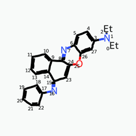 CCN(CC)c1ccc2nc3c4ccccc4/c(=N\c4ccccc4)cc-3oc2c1